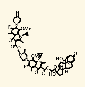 COc1c(N2CCNCC2)c(F)c(C)c2c(=O)c(C(=O)OCN3CCN(c4c(F)c(C)c5c(=O)c(C(=O)OCC(=O)[C@@]6(O)CC[C@H]7[C@@H]8CCC9=CC(=O)C=C[C@]9(C)[C@H]8[C@@H](O)C[C@@]76C)c(C)n(C6CC6)c5c4OC)CC3C)c(C)n(C3CC3)c12